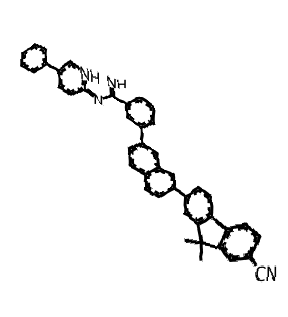 CC1(C)c2cc(C#N)ccc2-c2ccc(-c3ccc4ccc(-c5cccc(C(=N)/N=c6/ccc(-c7ccccc7)c[nH]6)c5)cc4c3)cc21